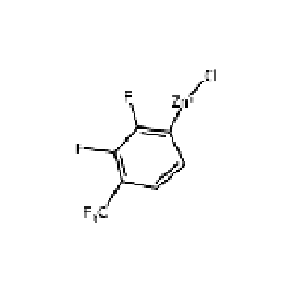 Fc1[c]([Zn+][Cl])ccc(C(F)(F)F)c1F